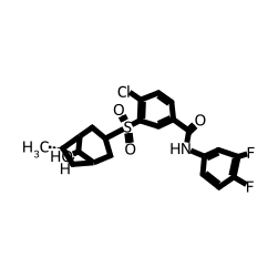 C[C@H]1CC2CC(S(=O)(=O)c3cc(C(=O)Nc4ccc(F)c(F)c4)ccc3Cl)CC1[C@@H]2O